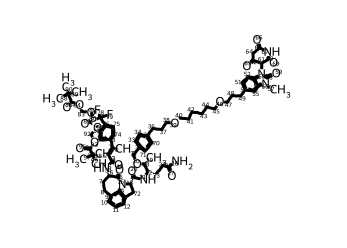 C/C(=C\C(=O)N[C@H]1CCc2cccc3c2N(C1=O)[C@H](C(=O)N[C@@H](CCC(N)=O)[C@@H](C)OCc1ccc(CCCOCCCCCCOCCCc2ccc4c(c2)n(C)c(=O)n4C2C(=O)CC(=O)NC2=O)cc1)C3)c1ccc(C(F)(F)P(=O)(OCOC(=O)C(C)(C)C)OCOC(=O)C(C)(C)C)cc1